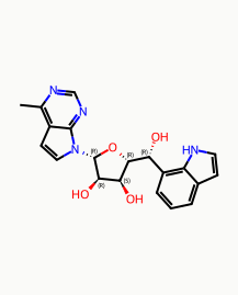 Cc1ncnc2c1ccn2[C@@H]1O[C@H]([C@H](O)c2cccc3cc[nH]c23)[C@@H](O)[C@H]1O